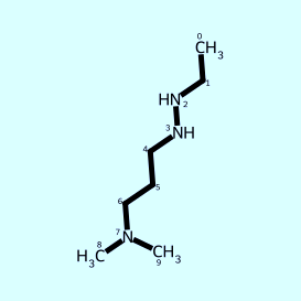 CCNNCCCN(C)C